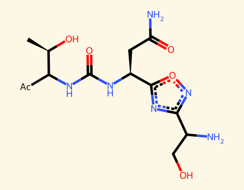 CC(=O)C(NC(=O)N[C@@H](CC(N)=O)c1nc(C(N)CO)no1)[C@@H](C)O